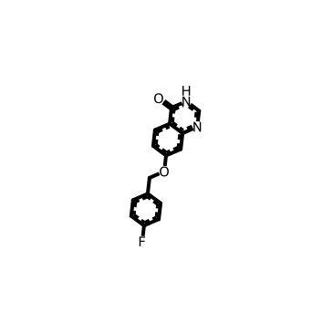 O=c1[nH]cnc2cc(OCc3ccc(F)cc3)ccc12